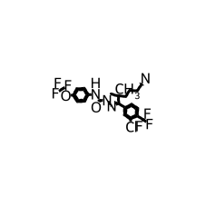 CC1(CCCC#N)CN(C(=O)Nc2ccc(OC(F)(F)F)cc2)N=C1c1ccc(C(F)(F)F)c(Cl)c1